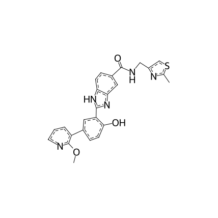 COc1ncccc1-c1ccc(O)c(-c2nc3cc(C(=O)NCc4csc(C)n4)ccc3[nH]2)c1